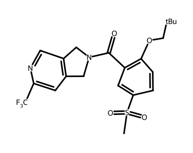 CC(C)(C)COc1ccc(S(C)(=O)=O)cc1C(=O)N1Cc2cnc(C(F)(F)F)cc2C1